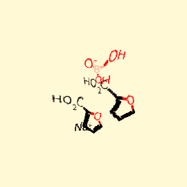 O=C(O)c1ccco1.O=C(O)c1ccco1.[Na+].[O-]B(O)O